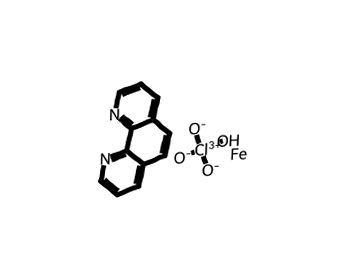 [Fe].[O-][Cl+3]([O-])([O-])O.c1cnc2c(c1)ccc1cccnc12